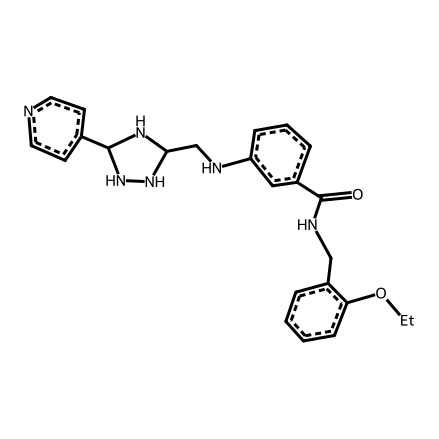 CCOc1ccccc1CNC(=O)c1cccc(NCC2NNC(c3ccncc3)N2)c1